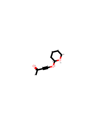 CC(=O)C#COC1CCCCO1